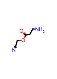 N#CCOC(=O)CCN